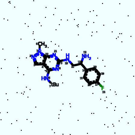 Cn1ncc2c(NC(C)(C)C)nc(NCC(N)c3ccc(F)cc3)nc21